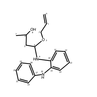 C=CCOC(CC(C)O)Nc1ccccc1Nc1ccccc1